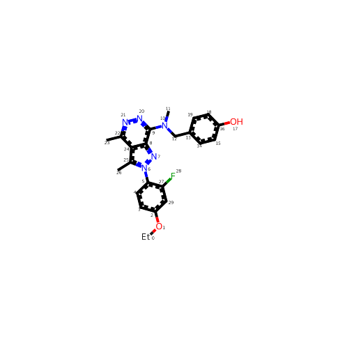 CCOc1ccc(-n2nc3c(N(C)Cc4ccc(O)cc4)nnc(C)c3c2C)c(F)c1